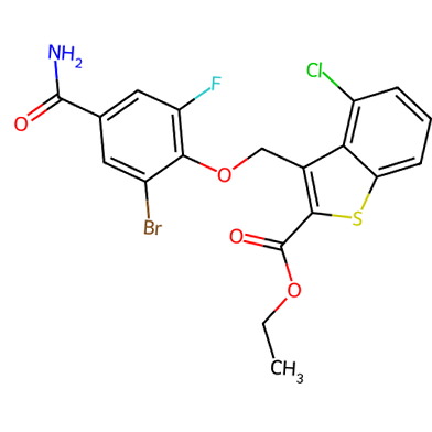 CCOC(=O)c1sc2cccc(Cl)c2c1COc1c(F)cc(C(N)=O)cc1Br